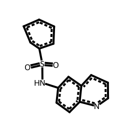 O=S(=O)(Nc1ccc2ncccc2c1)c1ccccc1